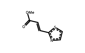 COC(=O)C=Cc1nccs1